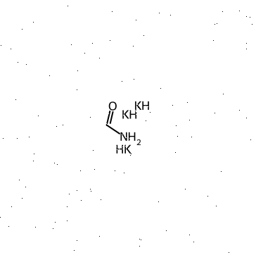 NC=O.[KH].[KH].[KH]